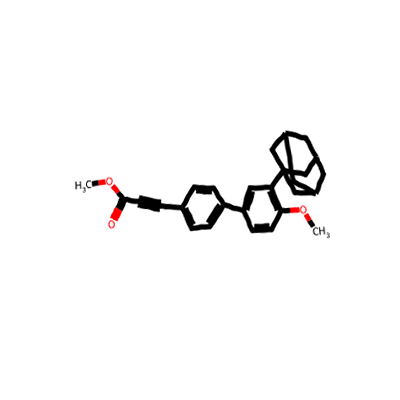 COC(=O)C#Cc1ccc(-c2ccc(OC)c(C34CC5CC(CC(C5)C3)C4)c2)cc1